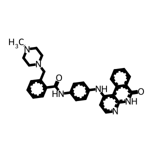 CN1CCN(Cc2ccccc2C(=O)Nc2ccc(Nc3ccnc4[nH]c(=O)c5ccccc5c34)cc2)CC1